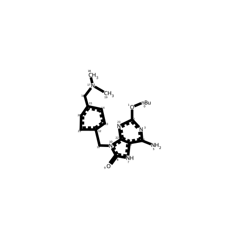 CCCCOc1nc(N)c2[nH]c(=O)n(Cc3ccc(CN(C)C)cc3)c2n1